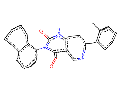 Cc1ccccc1-c1cc2[nH]c(=O)n(-c3cccc4ccccc34)c(=O)c2cn1